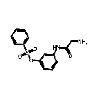 NCC(=O)Nc1cccc(OS(=O)(=O)c2ccccc2)c1